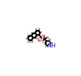 CC(C)(OC(=O)c1cccc2cc3ccccc3cc12)C1CCNCC1